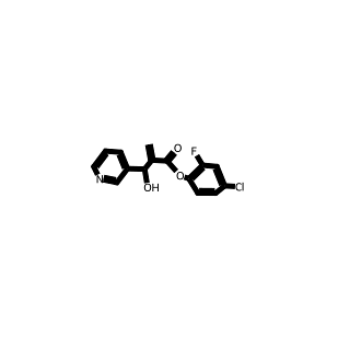 C=C(C(=O)Oc1ccc(Cl)cc1F)C(O)c1cccnc1